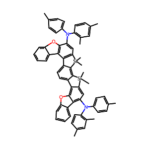 Cc1ccc(N(c2ccc(C)cc2C)c2cc3c(c4c2oc2ccccc24)-c2ccc4c(c2[Si]3(C)C)[Si](C)(C)c2cc(N(c3ccc(C)cc3)c3ccc(C)cc3C)c3c(oc5ccccc53)c2-4)cc1